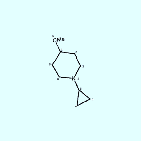 COC1CCN(C2CC2)CC1